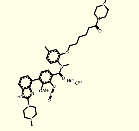 COc1c(-c2cccc3[nH]c(N4CCN(C)CC4)nc23)ccc(C(=O)N(C)c2ccc(C)cc2OCCCCCC(=O)N2CCN(C)CC2)c1N=C=O.Cl.Cl